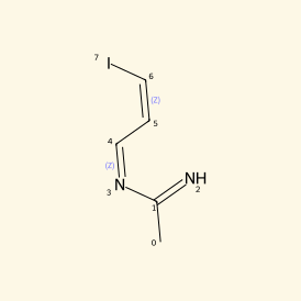 CC(=N)/N=C\C=C/I